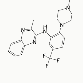 Cc1nc2ccccc2nc1Nc1cc(C(F)(F)F)ccc1N1CCN(C)CC1